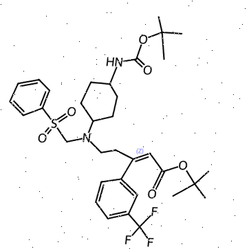 CC(C)(C)OC(=O)/C=C(/CCN(CS(=O)(=O)c1ccccc1)C1CCC(NC(=O)OC(C)(C)C)CC1)c1cccc(C(F)(F)F)c1